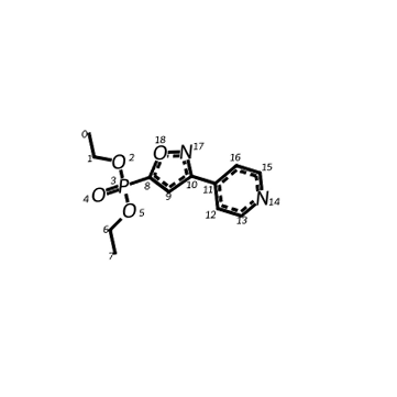 CCOP(=O)(OCC)c1cc(-c2ccncc2)no1